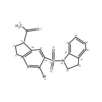 CC(=O)N1CCc2cc(Br)c(S(=O)(=O)N3CCc4ccccc43)cc21